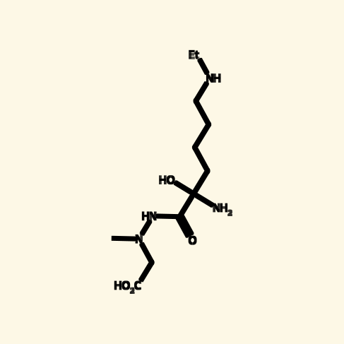 CCNCCCCC(N)(O)C(=O)NN(C)CC(=O)O